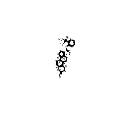 CC(C)(C)c1ccccc1OC(=O)[C@H]1CC[C@H]2[C@@H]3CC[C@H]4NC(=O)CC[C@]4(C)[C@H]3CC[C@]12C